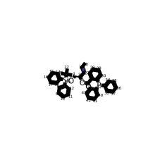 C/C=C/[C@H](CO[Si](c1ccccc1)(c1ccccc1)C(C)(C)C)OC(=O)c1ccccc1P(c1ccccc1)c1ccccc1